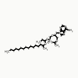 CCCCCCCCCCCCCCC(C)OC(CC)OP1(=O)CO[C@@H](Cn2cnc3c(N)ncnc32)COC(C)O1